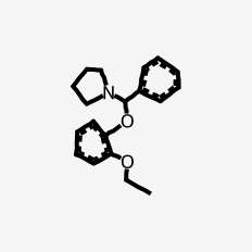 CCOc1ccccc1OC(c1ccccc1)N1CCCC1